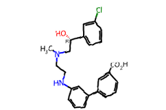 CN(CCNc1cccc(-c2cccc(C(=O)O)c2)c1)C[C@H](O)c1cccc(Cl)c1